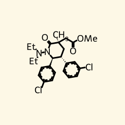 CCN(CC)N1C(=O)[C@@](C)(CC(=O)OC)C[C@H](c2cccc(Cl)c2)[C@H]1c1ccc(Cl)cc1